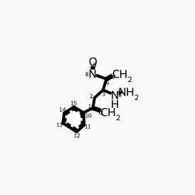 C=C(CC(NN)C(=C)N=O)c1ccccc1